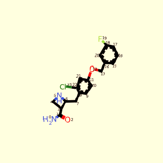 NC(=O)C1CNC1Cc1ccc(OCc2cccc(F)c2)cc1Cl